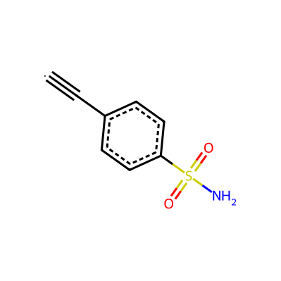 [C]#Cc1ccc(S(N)(=O)=O)cc1